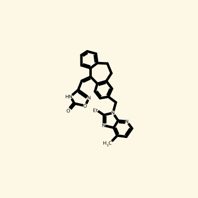 CCc1nc2c(C)ccnc2n1Cc1ccc2c(c1)CCc1ccccc1/C2=C/c1noc(=O)[nH]1